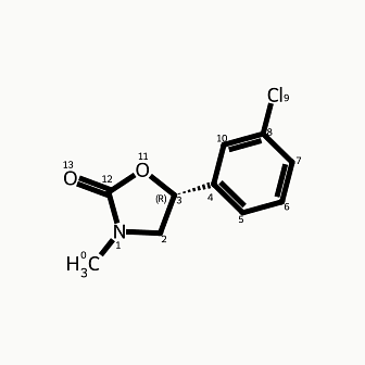 CN1C[C@@H](c2cccc(Cl)c2)OC1=O